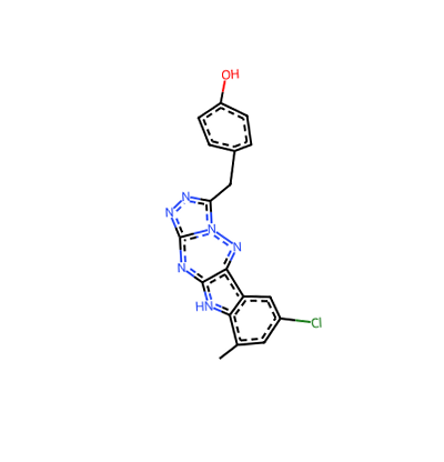 Cc1cc(Cl)cc2c1[nH]c1nc3nnc(Cc4ccc(O)cc4)n3nc12